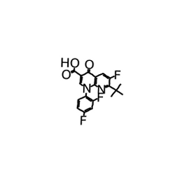 CC(C)(C)c1nc2c(cc1F)c(=O)c(C(=O)O)cn2-c1ccc(F)cc1F